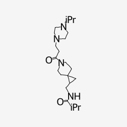 CC(C)C(=O)NCC1CC12CCN(C(=O)CCN1CCN(C(C)C)CC1)CC2